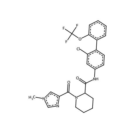 Cn1cnc(C(=O)N2CCCCC2C(=O)Nc2ccc(-c3ccccc3OC(F)(F)F)c(Cl)c2)c1